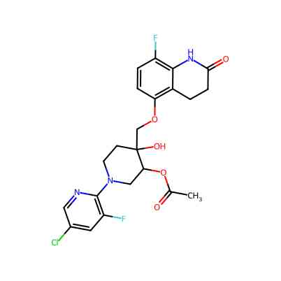 CC(=O)OC1CN(c2ncc(Cl)cc2F)CCC1(O)COc1ccc(F)c2c1CCC(=O)N2